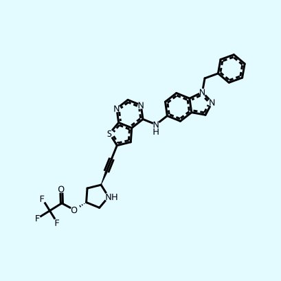 O=C(O[C@H]1CN[C@H](C#Cc2cc3c(Nc4ccc5c(cnn5Cc5ccccc5)c4)ncnc3s2)C1)C(F)(F)F